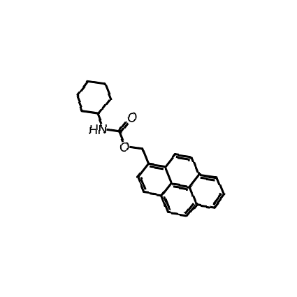 O=C(NC1CCCCC1)OCc1ccc2ccc3cccc4ccc1c2c34